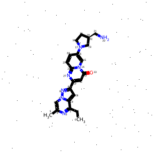 CCc1nc(C)cn2nc(-c3cc(=O)n4cc(N5CC[C@@H](CN)C5)ccc4n3)cc12